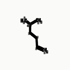 C=CCCN(C)C